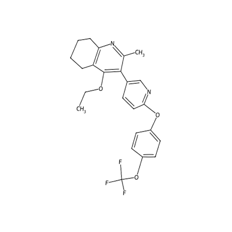 CCOc1c2c(nc(C)c1-c1ccc(Oc3ccc(OC(F)(F)F)cc3)nc1)CCCC2